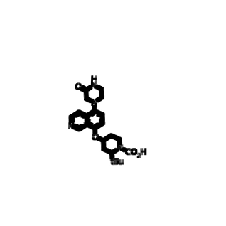 CC(C)(C)C1CC(Oc2ccc(N3CCNC(=O)C3)c3ccncc23)CCN1C(=O)O